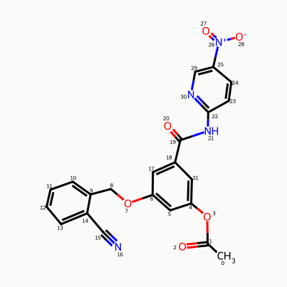 CC(=O)Oc1cc(OCc2ccccc2C#N)cc(C(=O)Nc2ccc([N+](=O)[O-])cn2)c1